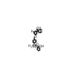 COC1(c2cc(F)cc(OCc3ccc(N(C)C(=O)NC4(CO)CCCC4)cc3)c2)CCOCC1